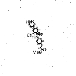 CCOc1cc(C2CCNCC2)ccc1C(=O)N[C@H]1CC[C@H](CCC(=O)OC)CC1.Cl